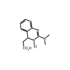 CCN1C(N(C)C)=Nc2ccccc2C1CC(=O)O